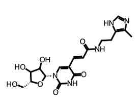 Cc1nc[nH]c1CCNC(=O)/C=C/c1cn([C@@H]2O[C@H](CO)C(O)C2O)c(=O)[nH]c1=O